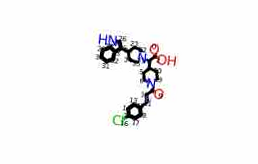 O=C(O)C(C1CCN(C(=O)/C=C/c2ccc(Cl)cc2)CC1)N1CCC(c2c[nH]c3ccccc23)CC1